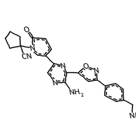 CNCc1ccc(-c2cc(-c3nc(-c4ccc(=O)n(C5(C#N)CCCC5)c4)cnc3N)on2)cc1